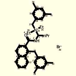 CCCC(NC(=O)c1ccc2ccccc2c1Cc1cc(C)cc(C)c1)[N+](CC)(CC)Cc1cc(C)cc(C)c1.[Br-]